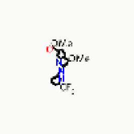 COC(=O)c1ccc2c(OC)cc(NCc3cccc(C(F)(F)F)c3)nc2c1